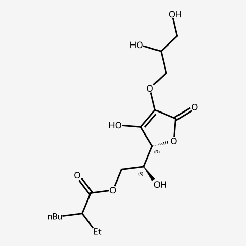 CCCCC(CC)C(=O)OC[C@H](O)[C@H]1OC(=O)C(OCC(O)CO)=C1O